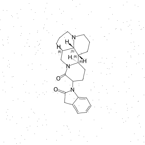 O=C1Cc2ccccc2N1C1CC[C@@H]2[C@H]3CCCN4CCC[C@H](CN2C1=O)[C@@H]34